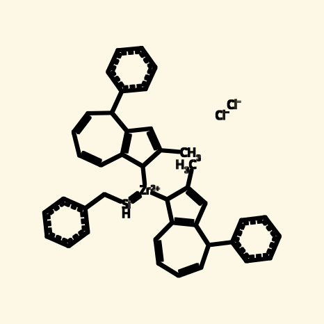 CC1=CC2=C(C=CC=CC2c2ccccc2)[CH]1[Zr+2](=[SiH]Cc1ccccc1)[CH]1C(C)=CC2=C1C=CC=CC2c1ccccc1.[Cl-].[Cl-]